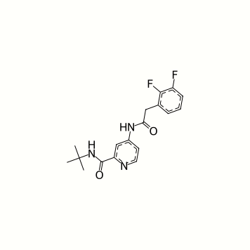 CC(C)(C)NC(=O)c1cc(NC(=O)Cc2cccc(F)c2F)ccn1